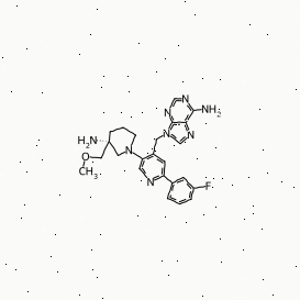 COC[C@@]1(N)CCCN(c2cnc(-c3cccc(F)c3)cc2Cn2cnc3c(N)ncnc32)C1